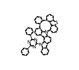 c1ccc(-c2nc(-c3ccccc3)nc(-n3c4ccccc4c4ccc5c(c6cccc7c8ccccc8c8cccc9sc%10cccc(c%10c98)n5c76)c43)n2)cc1